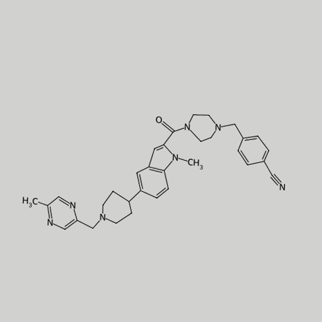 Cc1cnc(CN2CCC(c3ccc4c(c3)cc(C(=O)N3CCN(Cc5ccc(C#N)cc5)CC3)n4C)CC2)cn1